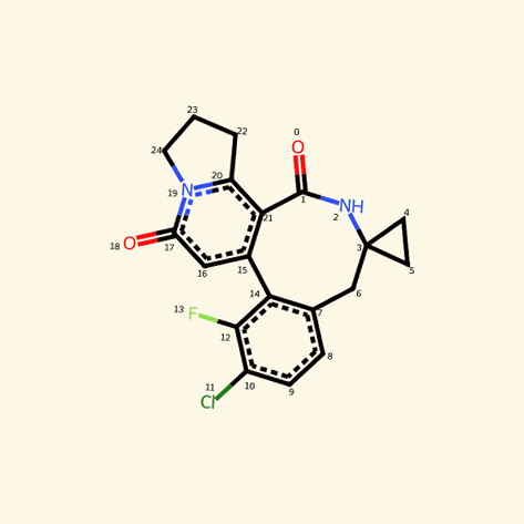 O=C1NC2(CC2)Cc2ccc(Cl)c(F)c2-c2cc(=O)n3c(c21)CCC3